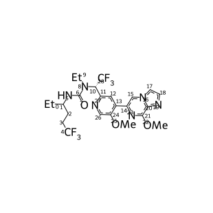 CCC(CCC(F)(F)F)NC(=O)N(CC)[C@@H](c1cc(-c2cn3ccnc3c(OC)n2)c(OC)cn1)C(F)(F)F